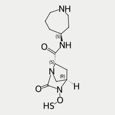 O=C(N[C@H]1CCCNCC1)[C@@H]1C[C@@H]2CN1C(=O)N2OS